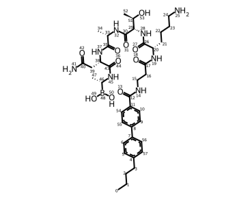 CCCCc1ccc(-c2ccc(C(=O)NCCC(=O)N[C@@H](CCCCN)C(=O)N[C@H](C(=O)N[C@@H](C)C(=O)N[C@@H](CC(N)=O)C(=O)N[C@@H](C)B(O)O)[C@@H](C)O)cc2)cc1